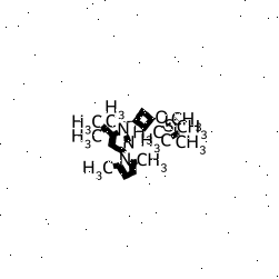 Cc1ccc(C)n1-c1cc(C(C)(C)C)n(C[C@H]2C[C@@H](O[Si](C)(C)C(C)(C)C)C2)n1